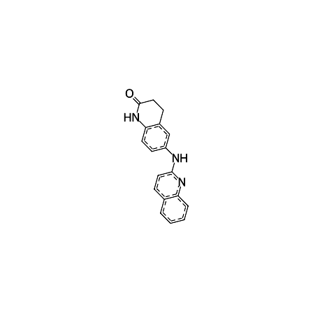 O=C1CCc2cc(Nc3ccc4ccccc4n3)ccc2N1